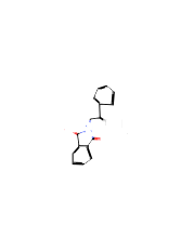 C=C(CN1C(=O)c2ccccc2C1=O)c1ccccc1